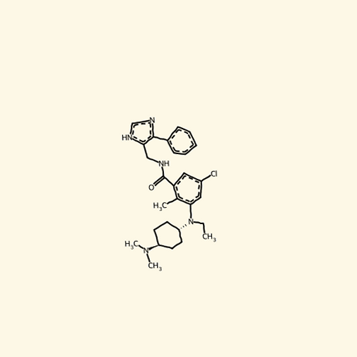 CCN(c1cc(Cl)cc(C(=O)NCc2[nH]cnc2-c2ccccc2)c1C)[C@H]1CC[C@H](N(C)C)CC1